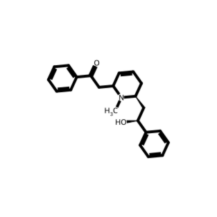 CN1C(CC(=O)c2ccccc2)C=CC[C@H]1C[C@H](O)c1ccccc1